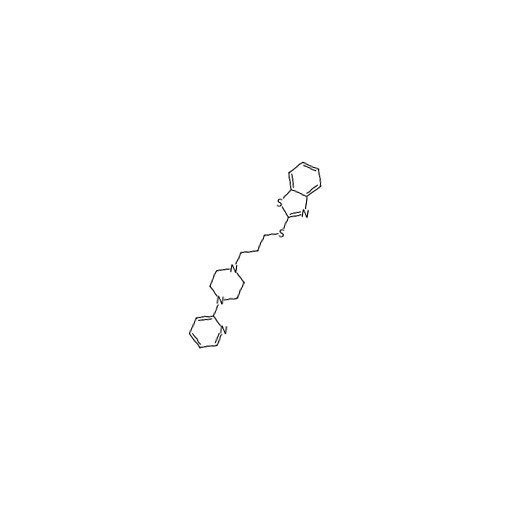 c1ccc(N2CCN(CCCSc3nc4ccccc4s3)CC2)nc1